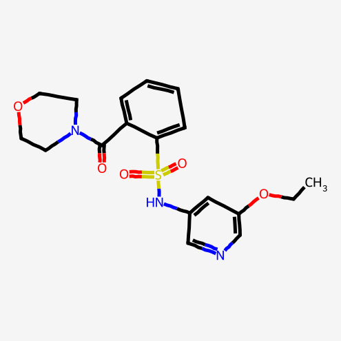 CCOc1cncc(NS(=O)(=O)c2ccccc2C(=O)N2CCOCC2)c1